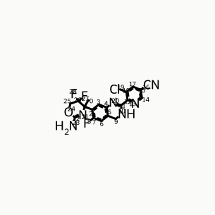 CC1(c2cc3c(cc2F)CNC(c2ncc(C#N)cc2Cl)=N3)N=C(N)OCC1(F)F